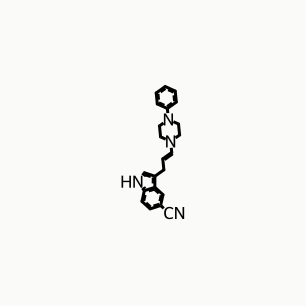 N#Cc1ccc2[nH]cc(CC=CN3CCN(c4ccccc4)CC3)c2c1